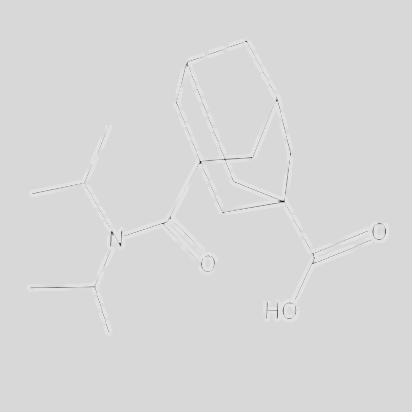 CC(C)N(C(=O)C12CC3CC(CC(C(=O)O)(C3)C1)C2)C(C)C